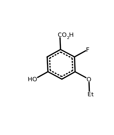 CCOc1cc(O)cc(C(=O)O)c1F